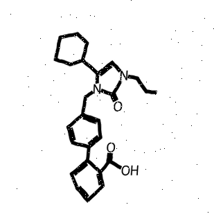 CCCn1cc(C2CCCCC2)n(Cc2ccc(-c3ccccc3C(=O)O)cc2)c1=O